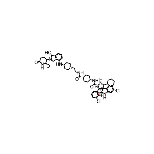 O=C1CCC(N2Cc3c(NC4CCN(CCNC(=O)[C@H]5CC[C@H](NC(=O)[C@@H]6NC(C7CCCCC7)[C@@]7(C(=O)Nc8cc(Cl)ccc87)[C@H]6c6cccc(Cl)c6F)CC5)CC4)cccc3C2O)C(=O)N1